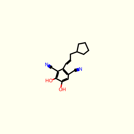 N#Cc1cc(O)c(O)c(C#N)c1C=CCC1CCCC1